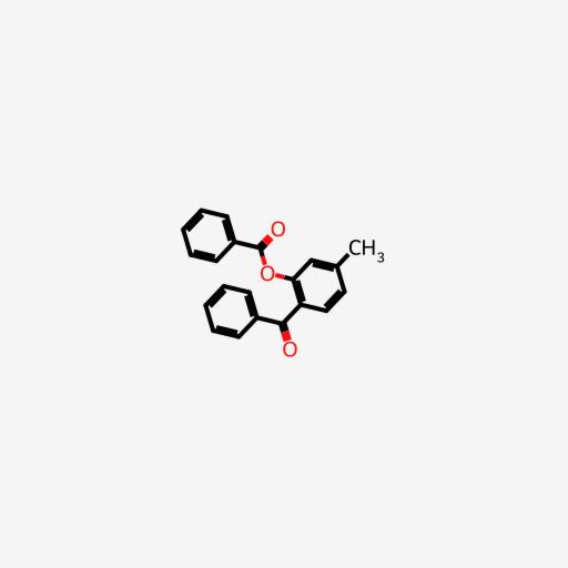 Cc1ccc(C(=O)c2ccccc2)c(OC(=O)c2ccccc2)c1